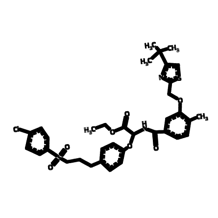 CCOC(=O)C(NC(=O)c1ccc(C)c(OCc2nc(C(C)(C)C)cs2)c1)Oc1ccc(CCCS(=O)(=O)c2ccc(Cl)cc2)cc1